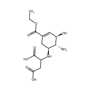 CCOC(=O)C1=C[C@@H](O)[C@H](N)[C@@H](NC(CC(=O)O)C(=O)O)C1